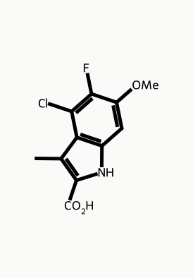 COc1cc2[nH]c(C(=O)O)c(C)c2c(Cl)c1F